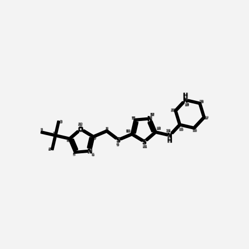 CC(C)(C)c1cnc(CSc2cnc(NC3CCCNC3)s2)o1